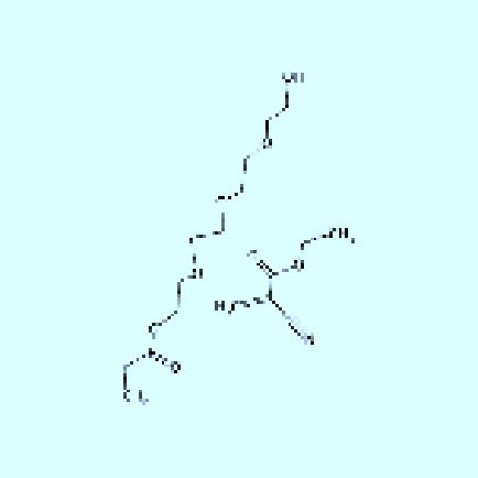 C=C(C#N)C(=O)OCC.C=CC(=O)OCCOCCOCCOCCO